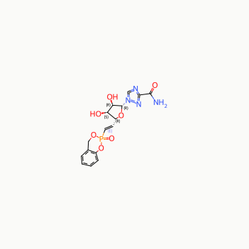 NC(=O)c1ncn([C@@H]2O[C@H](/C=C/P3(=O)OCc4ccccc4O3)[C@@H](O)[C@H]2O)n1